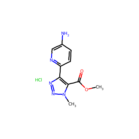 COC(=O)c1c(-c2ccc(N)cn2)nnn1C.Cl